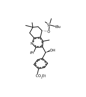 CCOC(=O)c1ccc([C@H](O)c2c(C(C)C)nc3c(c2C)[C@@H](O[Si](C)(C)C(C)(C)C)CC(C)(C)C3)cc1